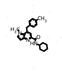 Cc1ccc(Cc2cc(C(=O)NC3CCCCC3)nc3ccn(C)c23)cc1